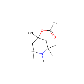 CN1C(C)(C)CC(N=O)(OC(=O)C(C)(C)C)CC1(C)C